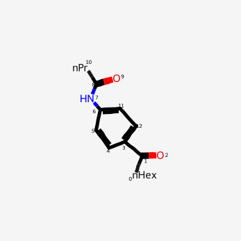 [CH2]CCCCCC(=O)c1ccc(NC(=O)CCC)cc1